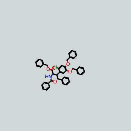 O=C(NC(C(=O)OCc1ccccc1)C(Cc1ccccc1)c1cc(OCc2ccccc2)c(OCc2ccccc2)cc1Cl)c1ccccc1